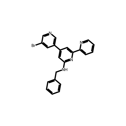 Brc1cncc(-c2cc(NCc3ccccc3)nc(-c3ccccn3)c2)c1